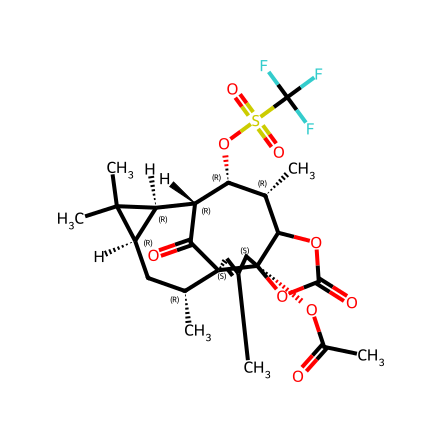 CC(=O)O[C@H]1C(C)=C[C@]23C(=O)[C@@H]([C@H](OS(=O)(=O)C(F)(F)F)[C@H](C)C4OC(=O)OC412)[C@H]1[C@@H](C[C@H]3C)C1(C)C